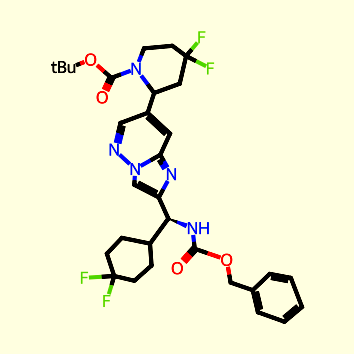 CC(C)(C)OC(=O)N1CCC(F)(F)CC1c1cnn2cc([C@@H](NC(=O)OCc3ccccc3)C3CCC(F)(F)CC3)nc2c1